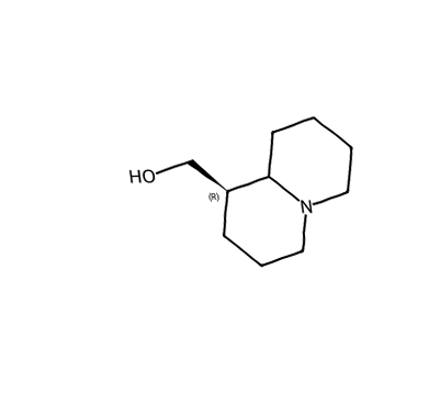 OC[C@@H]1CCCN2CCCCC12